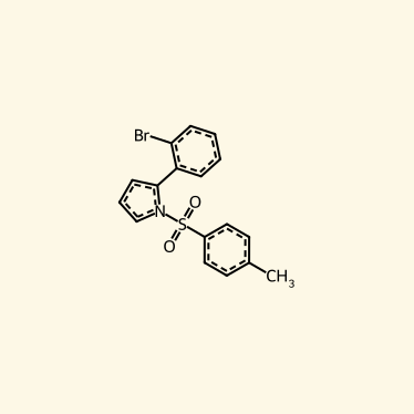 Cc1ccc(S(=O)(=O)n2cccc2-c2ccccc2Br)cc1